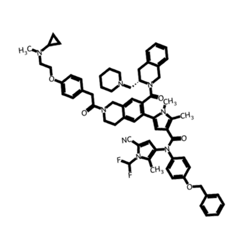 Cc1c(C(=O)N(c2ccc(OCc3ccccc3)cc2)c2cc(C#N)n(C(F)F)c2C)cc(-c2cc3c(cc2C(=O)N2Cc4ccccc4C[C@H]2CN2CCCCC2)CN(C(=O)Cc2ccc(OCCN(C)C4CC4)cc2)CC3)n1C